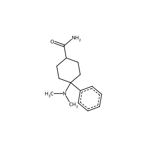 CN(C)C1(c2ccccc2)CCC(C(N)=O)CC1